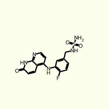 NS(=O)(=O)NCc1ccc(F)c(Nc2ccnc3[nH]c(=O)ccc23)c1